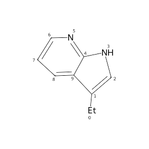 [CH2]Cc1c[nH]c2ncccc12